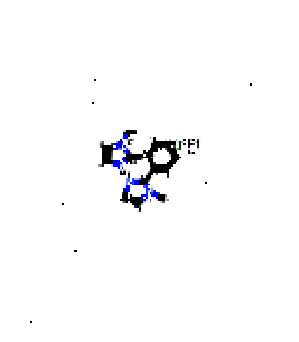 Cl.Cn1ccnc1-c1ccccc1-c1nccn1C.[Pt]